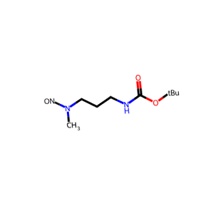 CN(CCCNC(=O)OC(C)(C)C)N=O